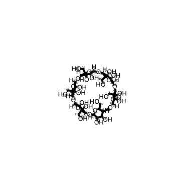 OCC1O[C@H]2O[C@@H]3C(CO)O[C@@H](O[C@@H]4C(CO)O[C@H](O[C@@H]5C(CO)O[C@H](O[C@@H]6C(CO)O[C@H](O[C@@H]7C(CO)O[C@H](OC1[C@@H](O)C2O)C(O)C7O)C(O)C6O)C(O)C5O)C(O)C4O)C(O)C3O